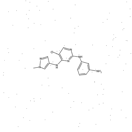 Cn1cc(Nc2nc(Nc3cccc(N)c3)ncc2Cl)cn1